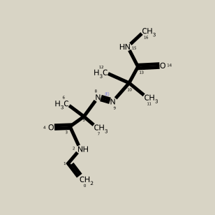 C=CNC(=O)C(C)(C)/N=N/C(C)(C)C(=O)NC